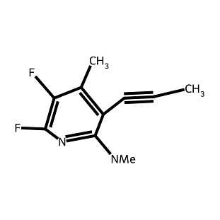 CC#Cc1c(NC)nc(F)c(F)c1C